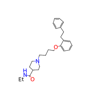 CCNC(=O)C1CCN(CCCCOc2ccccc2CCc2ccccc2)CC1